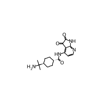 CC(C)(N)[C@H]1CC[C@H](C(=O)Nc2ccnc3c2C(=O)C(=O)N3)CC1